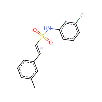 Cc1cccc(/C=C/S(=O)(=O)Nc2cccc(Cl)c2)c1